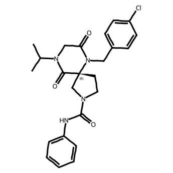 CC(C)N1CC(=O)N(Cc2ccc(Cl)cc2)[C@@]2(CCN(C(=O)Nc3ccccc3)C2)C1=O